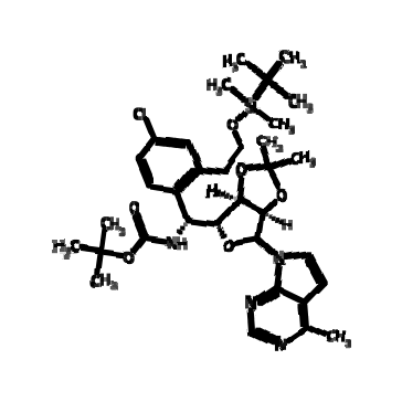 Cc1ncnc2c1ccn2C1O[C@H]([C@H](NC(=O)OC(C)(C)C)c2ccc(Cl)cc2CCO[Si](C)(C)C(C)(C)C)[C@H]2OC(C)(C)O[C@@H]12